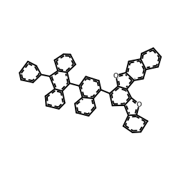 c1ccc(-c2c3ccccc3c(-c3ccc(-c4cc5c6ccccc6oc5c5c4oc4cc6ccccc6cc45)c4ccccc34)c3ccccc23)cc1